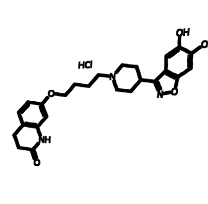 Cl.O=C1CCc2ccc(OCCCCN3CCC(c4noc5cc(O)c(O)cc45)CC3)cc2N1